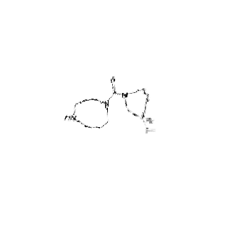 O=C(N1CCNCC1)N1CC[C@H](F)C1